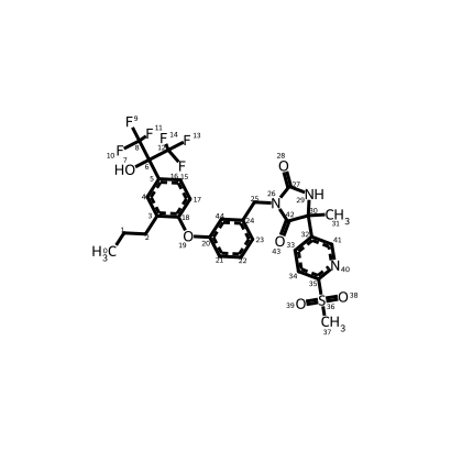 CCCc1cc(C(O)(C(F)(F)F)C(F)(F)F)ccc1Oc1cccc(CN2C(=O)NC(C)(c3ccc(S(C)(=O)=O)nc3)C2=O)c1